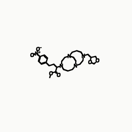 COC(=O)C(CCc1ccc([N+](=O)[O-])cc1)N1CCCN2CCN(CCCN(CC3COCO3)CC2)CC1